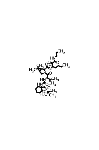 C=CCNC(=O)C(=O)C(CCCC)NC(=O)[C@@H]1C2C(CN1C(=O)[C@@H](NC(=O)NC1(CS(=O)(=O)C(C)(C)C)CCCCC1)C(C)C)C2(C)C